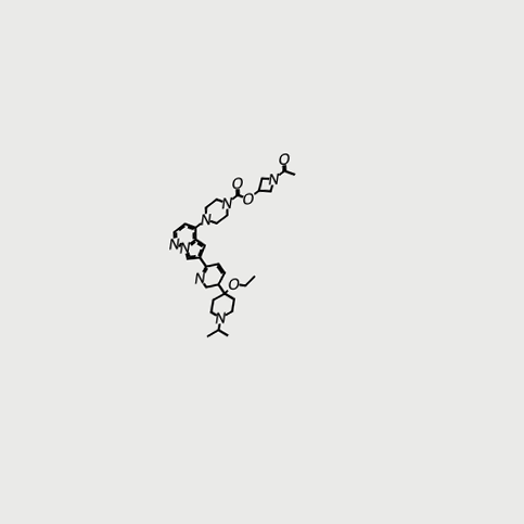 CCOC1(C2C=CC(c3cc4c(N5CCN(C(=O)OC6CN(C(C)=O)C6)CC5)ccnn4c3)=NC2)CCN(C(C)C)CC1